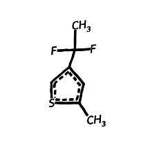 Cc1cc(C(C)(F)F)cs1